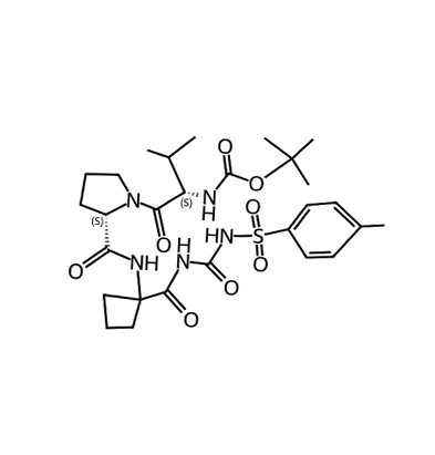 Cc1ccc(S(=O)(=O)NC(=O)NC(=O)C2(NC(=O)[C@@H]3CCCN3C(=O)[C@@H](NC(=O)OC(C)(C)C)C(C)C)CCC2)cc1